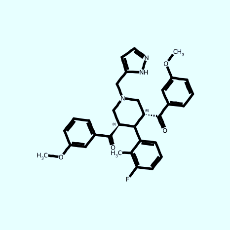 COc1cccc(C(=O)[C@H]2CN(Cc3ccn[nH]3)C[C@H](C(=O)c3cccc(OC)c3)C2c2cccc(F)c2C)c1